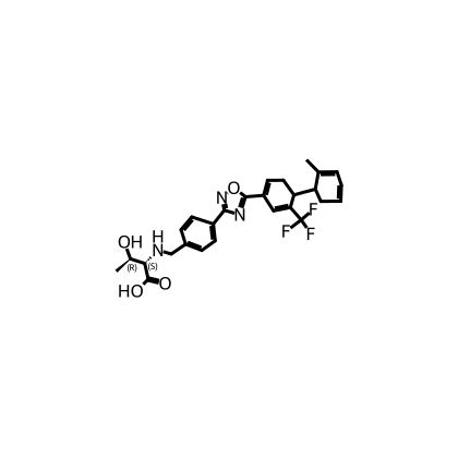 CC1=CC=CCC1C1CC=C(c2nc(-c3ccc(CN[C@H](C(=O)O)[C@@H](C)O)cc3)no2)C=C1C(F)(F)F